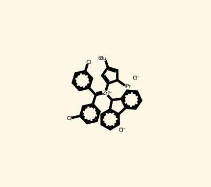 CC(C)C1C=C(C(C)(C)C)C=[C]1[Zr+2](=[C](c1cccc(Cl)c1)c1cccc(Cl)c1)[CH]1c2ccccc2-c2ccccc21.[Cl-].[Cl-]